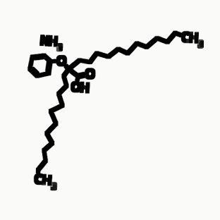 CCCCCCCCCCCCC(CCCCCCCCCCCC)(Oc1ccccc1)C(=O)O.N